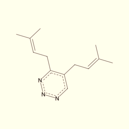 CC(C)=CCc1cnnnc1CC=C(C)C